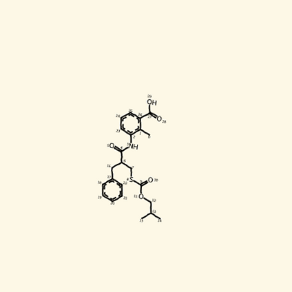 Cc1c(NC(=O)C(CSC(=O)OCC(C)C)Cc2ccccc2)cccc1C(=O)O